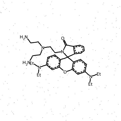 CCN(CC)c1ccc2c(c1)Oc1cc(N(CC)CC)ccc1C21c2ccccc2C(=O)N1CCN(CCN)CCN